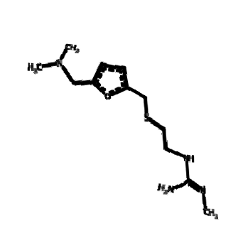 C/N=C(\N)NCCSCc1ccc(CN(C)C)o1